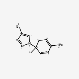 CCc1cnn(C2(C)C=CC(C(C)CC)=CC2)c1